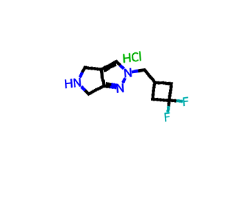 Cl.FC1(F)CC(Cn2cc3c(n2)CNC3)C1